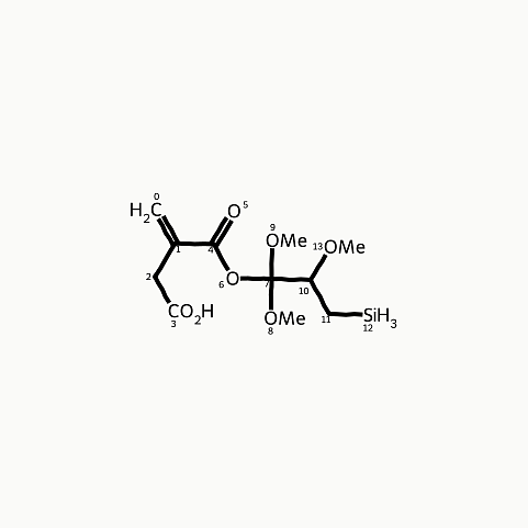 C=C(CC(=O)O)C(=O)OC(OC)(OC)C(C[SiH3])OC